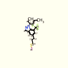 CCCC(CC)n1ncc2cc(CCCSI)cc(C(F)(F)F)c21